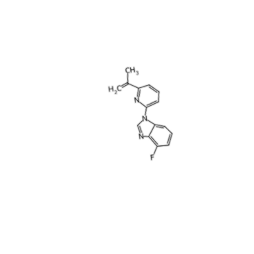 C=C(C)c1cccc(-n2cnc3c(F)cccc32)n1